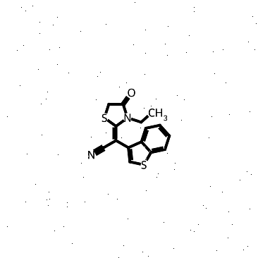 CCN1C(=O)CSC1=C(C#N)c1csc2ccccc12